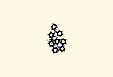 CC1(C)c2cc(-n3c4c(-c5ccccc5)cccc4c4cccc(-c5ccccc5)c43)ccc2N2c3ccccc3B(c3ccccc3)c3cccc1c32